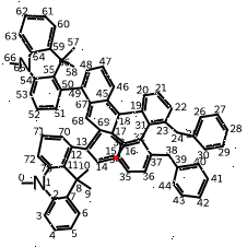 CN1c2ccccc2C(C)(C)c2c(-c3cccc4c(-c5cccc(Cc6ccccc6)c5-c5ccccc5Cc5ccccc5)c5cccc(-c6cccc7c6C(C)(C)c6ccccc6N7C)c5cc34)cccc21